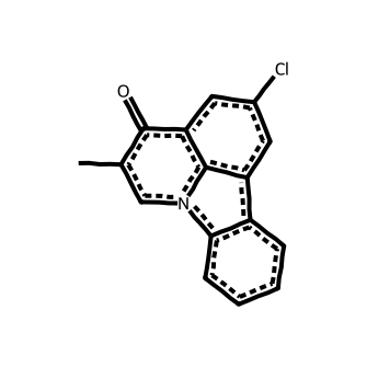 Cc1cn2c3ccccc3c3cc(Cl)cc(c1=O)c32